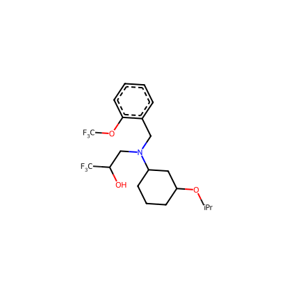 CC(C)OC1CCCC(N(Cc2ccccc2OC(F)(F)F)CC(O)C(F)(F)F)C1